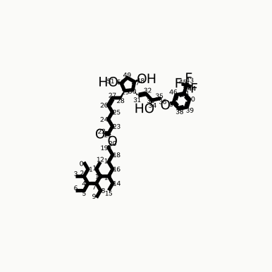 CCC(C)C(CC)C(CC)C(CC)C(CC)CCCCOC(=O)CCC/C=C\C[C@@H]1[C@@H](/C=C/[C@@H](O)COc2cccc(C(F)(F)F)c2)[C@H](O)C[C@@H]1O